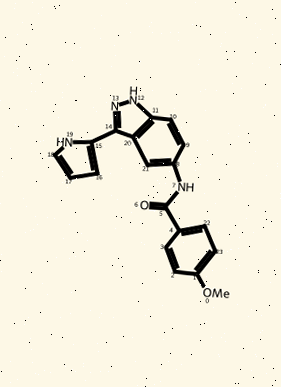 COc1ccc(C(=O)Nc2ccc3[nH]nc(-c4ccc[nH]4)c3c2)cc1